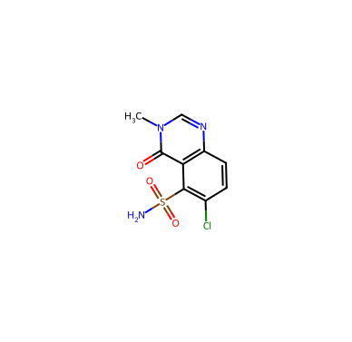 Cn1cnc2ccc(Cl)c(S(N)(=O)=O)c2c1=O